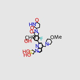 COC1CCN(Cc2cc(-c3ccc4c(c3F)CN(C3CCC(=O)NC3=O)C4=O)nc3c2ccn3C2CS(O)(O)C2)CC1.O=CO